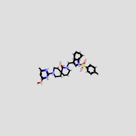 COc1cc(C)nc(N2CCC3(CCCN(Cc4cn(S(=O)(=O)c5ccc(C)cc5)c5ccccc45)C3=O)CC2)n1